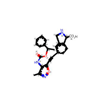 Cc1noc(C#Cc2ccc3c(c2)CNC3C(=O)O)c1NC(=O)OC(C)c1ccccc1